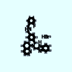 Br.Fc1ccccc1CNCc1ccc(CN(Cc2nc3ccccc3[nH]2)C2CCCc3cccnc32)cc1